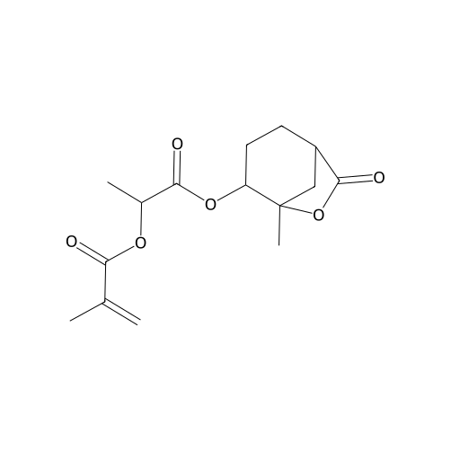 C=C(C)C(=O)OC(C)C(=O)OC1CCC2CC1(C)OC2=O